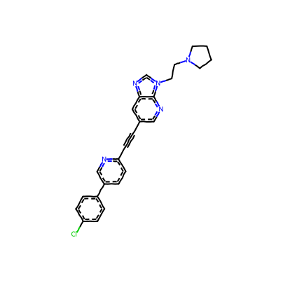 Clc1ccc(-c2ccc(C#Cc3cnc4c(c3)ncn4CCN3CCCC3)nc2)cc1